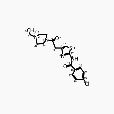 [CH2]CN1CCN(C(=O)Cc2csc(NC(=O)c3ccc(Cl)cc3)n2)CC1